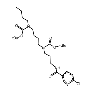 CC(C)(C)OC(=O)N(CCCI)CCCCN(CCCNC(=O)c1ccc(Cl)nc1)C(=O)OC(C)(C)C